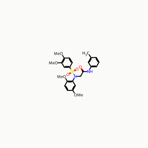 COc1ccc(OC)c(N(CC(=O)Nc2cccc(C)c2)S(=O)(=O)c2ccc(OC)c(OC)c2)c1